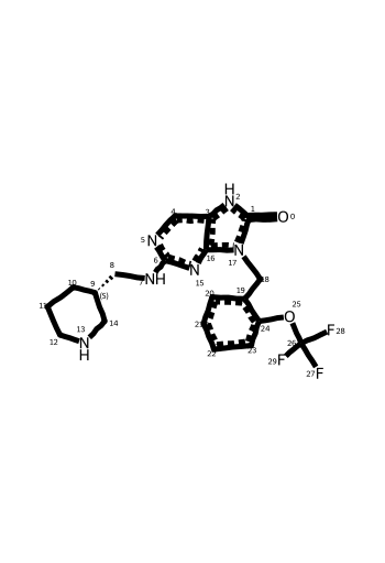 O=c1[nH]c2cnc(NC[C@H]3CCCNC3)nc2n1Cc1ccccc1OC(F)(F)F